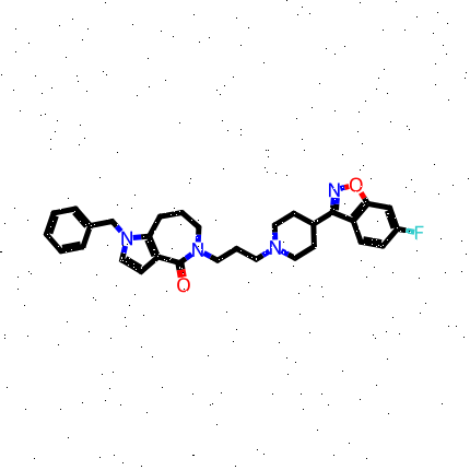 O=C1c2ccn(Cc3ccccc3)c2CCCN1CCCN1CCC(c2noc3cc(F)ccc23)CC1